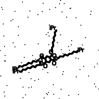 CC(C)CCCCCCCCCOC(=O)C1CC(C(=O)OCCCCCCCCCC(C)C)C(C(=O)OCCCCCCCCCC(C)C)CC1C(=O)OCCCCCCCCCC(C)C